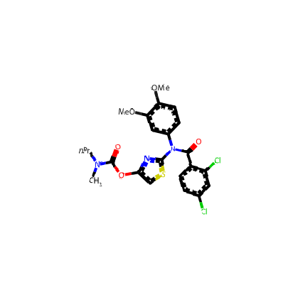 CCCN(C)C(=O)Oc1csc(N(C(=O)c2ccc(Cl)cc2Cl)c2ccc(OC)c(OC)c2)n1